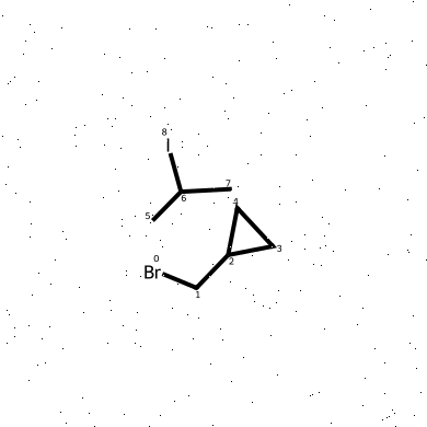 BrCC1CC1.CC(C)I